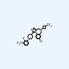 Fc1c(N2CCC(c3nnc4n3-c3ccc(Cl)cc3CN(C3CC(C(F)(F)F)C3)C4)CC2)cccc1C(F)(F)F